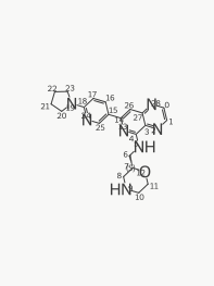 c1cnc2c(NC[C@@H]3CNCCO3)nc(-c3ccc(N4CCCC4)nc3)cc2n1